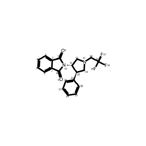 O=C1c2ccccc2C(=O)N1[C@@H]1CN(CC(F)(F)F)C[C@H]1c1ccccc1